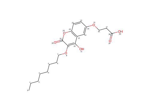 CCCCCCCCOc1c(O)c2cc(OCCC(=O)O)ccc2oc1=O